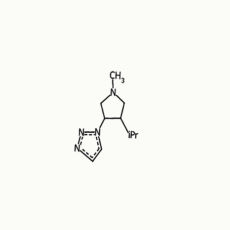 CC(C)C1CN(C)CC1n1ccnn1